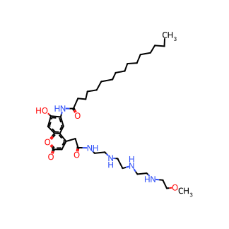 CCCCCCCCCCCCCCCC(=O)Nc1cc2c(CC(=O)NCCNCCNCCNCCOC)cc(=O)oc2cc1O